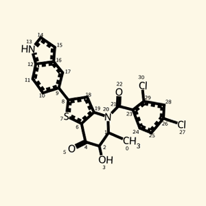 CC1C(O)C(=O)c2sc(-c3ccc4[nH]ccc4c3)cc2N1C(=O)c1ccc(Cl)cc1Cl